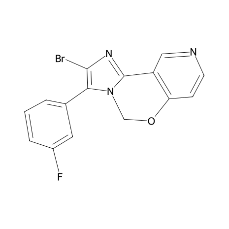 Fc1cccc(-c2c(Br)nc3n2COc2ccncc2-3)c1